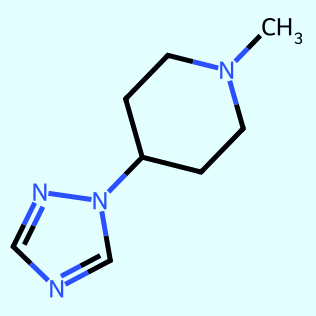 CN1CCC(n2cncn2)CC1